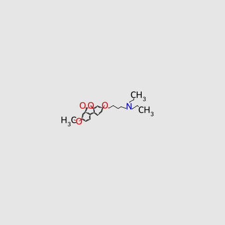 CCCN(CCC)CCCCCOc1ccc2c(c1)oc(=O)c1cc(OC)ccc12